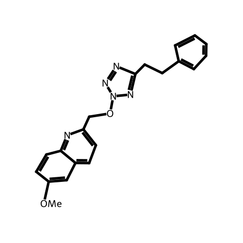 COc1ccc2nc(COn3nnc(CCc4ccccc4)n3)ccc2c1